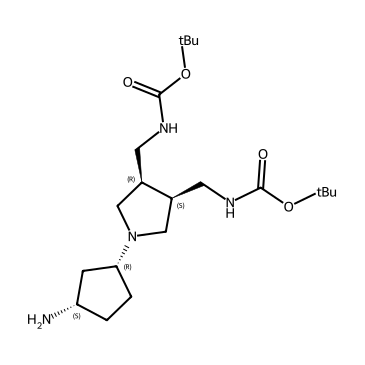 CC(C)(C)OC(=O)NC[C@@H]1CN([C@@H]2CC[C@H](N)C2)C[C@@H]1CNC(=O)OC(C)(C)C